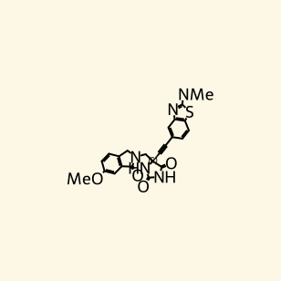 CNc1nc2cc(C#C[C@]3(CN4Cc5ccc(OC)cc5C4=O)NC(=O)NC3=O)ccc2s1